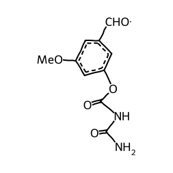 COc1cc([C]=O)cc(OC(=O)NC(N)=O)c1